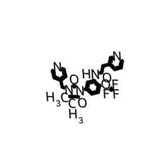 CC1(C)C(=O)N(c2ccc(OC(F)(F)F)c(NC(=O)Cc3cccnc3)c2)C(=O)N1Cc1ccncc1